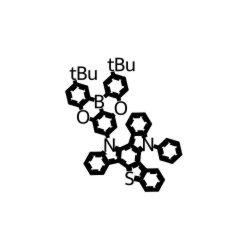 CC(C)(C)c1ccc2c(c1)B1c3cc(C(C)(C)C)ccc3Oc3cc(-n4c5ccccc5c5c6sc7ccccc7c6c6c(c7ccccc7n6-c6ccccc6)c54)cc(c31)O2